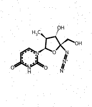 C[C@@H]1[C@H](n2ccc(=O)[nH]c2=O)O[C@@](CO)(N=[N+]=[N-])[C@H]1O